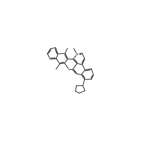 Cc1c2c(c(C)c3ccccc13)-c1c3c(cc4c(C5CCCC5)cccc4c3cc[n+]1C)S2